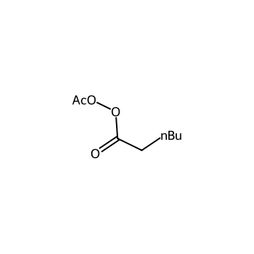 CCCCCC(=O)OOC(C)=O